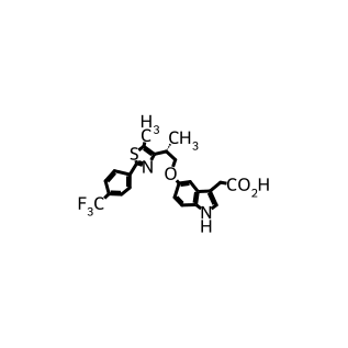 Cc1sc(-c2ccc(C(F)(F)F)cc2)nc1[C@H](C)COc1ccc2[nH]cc(CC(=O)O)c2c1